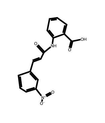 O=C(C=Cc1cccc([N+](=O)[O-])c1)Nc1ccccc1C(=O)O